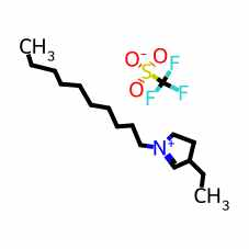 CCCCCCCCCC[N+]1=CC(CC)CC1.O=S(=O)([O-])C(F)(F)F